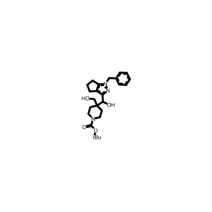 CC(C)(C)OC(=O)N1CCC(CO)(C(O)c2nn(Cc3ccccc3)c3c2CCC3)CC1